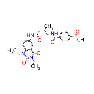 CCn1c(=O)c2cc(NC(=O)CC(C)CNC(=O)c3ccc(C(C)=O)cc3)ccc2n(CC)c1=O